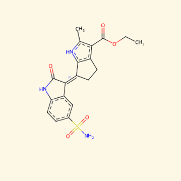 CCOC(=O)c1c(C)[nH]c2c1CC/C2=C1/C(=O)Nc2ccc(S(N)(=O)=O)cc21